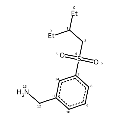 CCC(CC)CS(=O)(=O)c1cccc(CN)c1